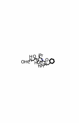 CCCN(Cc1ccccc1)C(=O)/C(C)=C/C(C(C)C)N(C)C(=O)CNC=O